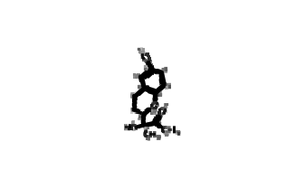 CC(=O)[C@@](C)(O)[C@H]1CCc2cc(Cl)ccc2O1